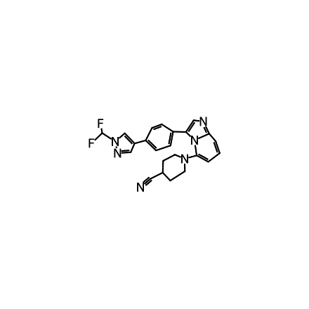 N#CC1CCN(c2cccc3ncc(-c4ccc(-c5cnn(C(F)F)c5)cc4)n23)CC1